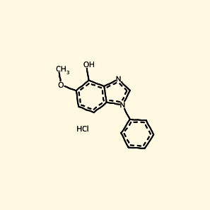 COc1ccc2c(ncn2-c2ccccc2)c1O.Cl